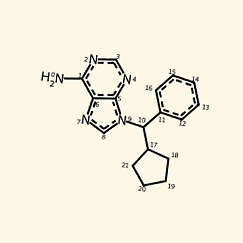 Nc1ncnc2c1ncn2C(c1ccccc1)C1CCCC1